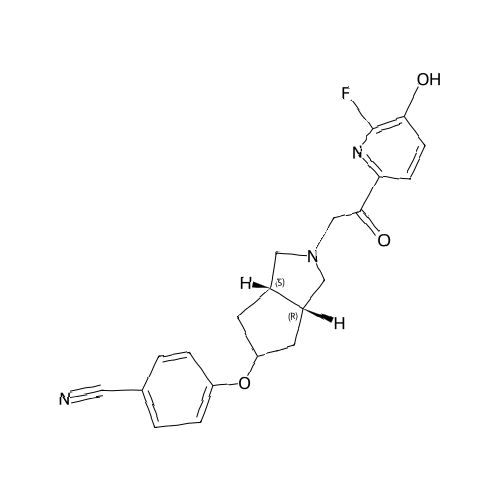 N#Cc1ccc(OC2C[C@@H]3CN(CC(=O)c4ccc(O)c(F)n4)C[C@@H]3C2)cc1